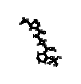 CC(c1ccccc1OC(F)(F)F)N1CC(NC(=O)c2cn(C3CC3)nn2)C1